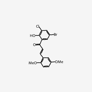 COc1ccc(OC)c(C=CC(=O)c2cc(Br)cc(Cl)c2O)c1